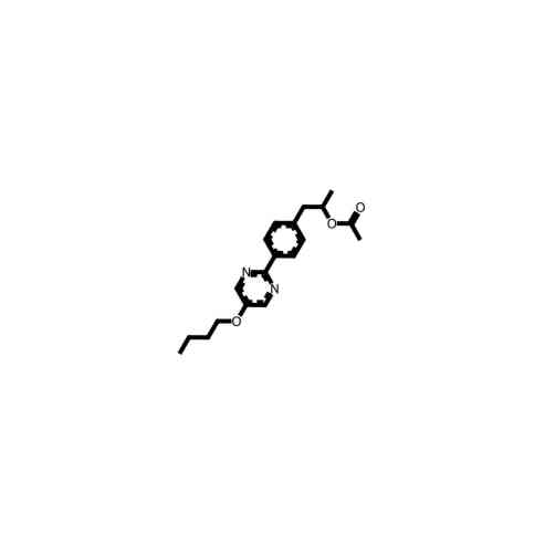 CCCCOc1cnc(-c2ccc(CC(C)OC(C)=O)cc2)nc1